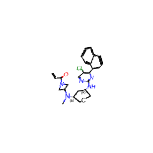 C=CC(=O)N1CC(N(C)[C@H]2CCC[C@@H](Nc3ncc(Cl)c(-c4cc#cc5ccccc45)n3)C2)C1